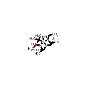 CC[N](CC)[Nb]([NH2])([N](CC)CC)([N](CC)CC)[C](C)(C)C